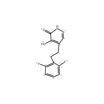 O=c1[nH]ncc(CCc2c(F)cccc2F)c1O